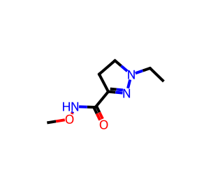 CCN1CCC(C(=O)NOC)=N1